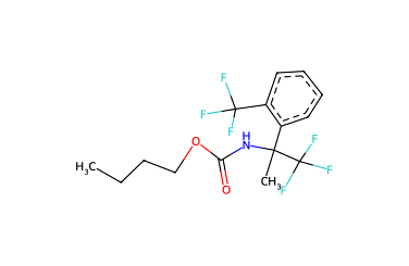 CCCCOC(=O)NC(C)(c1ccccc1C(F)(F)F)C(F)(F)F